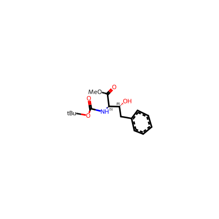 COC(=O)[C@@H](NC(=O)OC(C)(C)C)[C@H](O)Cc1ccccc1